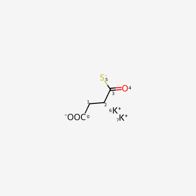 O=C([O-])CCC(=O)[S-].[K+].[K+]